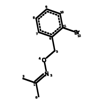 CC(C)=NOCc1ccccc1Br